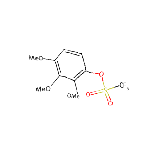 COc1ccc(OS(=O)(=O)C(F)(F)F)c(OC)c1OC